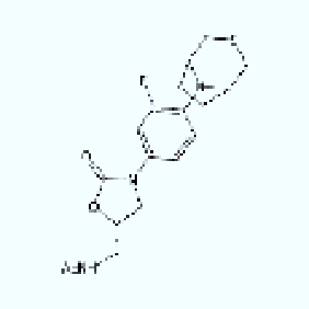 CC(=O)NC[C@H]1CN(c2ccc(N3C4CCC3CSC4)c(F)c2)C(=O)O1